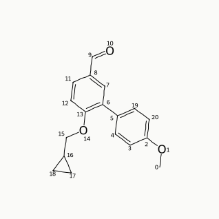 COc1ccc(-c2cc(C=O)ccc2OCC2CC2)cc1